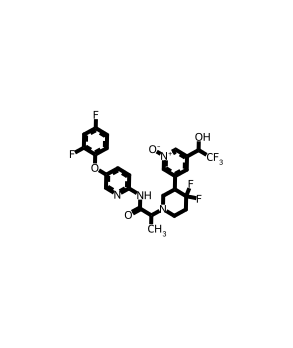 CC(C(=O)Nc1ccc(Oc2ccc(F)cc2F)cn1)N1CCC(F)(F)C(c2cc(C(O)C(F)(F)F)c[n+]([O-])c2)C1